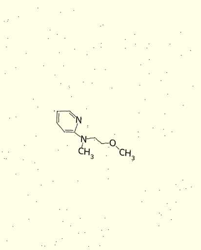 COCCN(C)c1cc[c]cn1